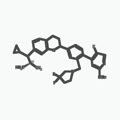 COc1cc(-c2ccc(C3CCc4ccc(C(C5CC5)[C@H](C)C(=O)O)cc4O3)cc2CN2CCC(F)(F)C2)c(F)cn1